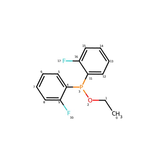 CCOP(c1ccccc1F)c1ccccc1F